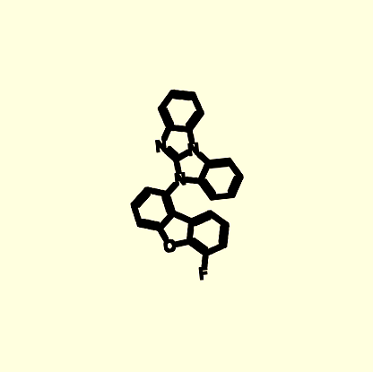 Fc1cccc2c1oc1cccc(-n3c4ccccc4n4c5ccccc5nc34)c12